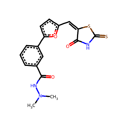 CN(C)NC(=O)c1cccc(-c2ccc(C=C3SC(=S)NC3=O)o2)c1